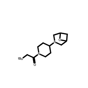 CC(C)(C)CC(=O)N1CCC(N2CC3CC(C2)O3)CC1